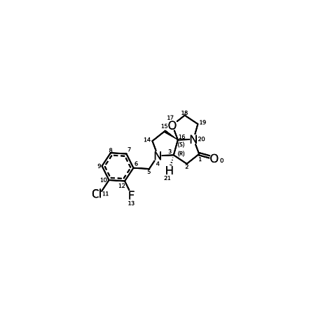 O=C1C[C@H]2N(Cc3cccc(Cl)c3F)CC[C@]23OCCN13